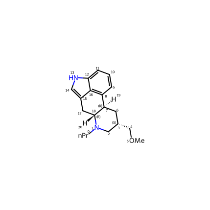 CCCN1C[C@@H](COC)C[C@@H]2c3cccc4[nH]cc(c34)C[C@H]21